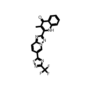 Cc1c(-c2nc3ccc(-c4nc(C(F)(F)F)ns4)cn3n2)[nH]c2ccccc2c1=O